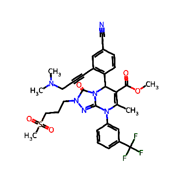 COC(=O)C1=C(C)N(c2cccc(C(F)(F)F)c2)c2nn(CCCS(C)(=O)=O)c(=O)n2C1c1ccc(C#N)cc1C#CCN(C)C